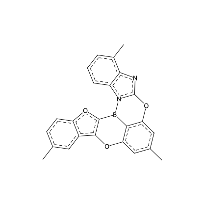 Cc1cc2c3c(c1)Oc1nc4c(C)cccc4n1B3c1oc3ccc(C)cc3c1O2